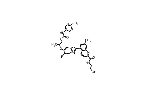 Cc1cc(-c2nc3cc(F)c(OC(C)COC(=O)Nc4cnc(C)nc4)cc3s2)c2ncc(C(=O)NCCO)nc2c1